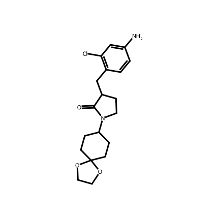 Nc1ccc(CC2CCN(C3CCC4(CC3)OCCO4)C2=O)c(Cl)c1